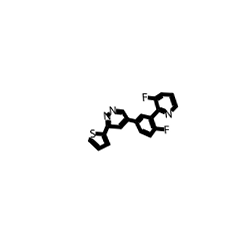 Fc1ccc(-c2cnnc(-c3cccs3)c2)cc1-c1ncccc1F